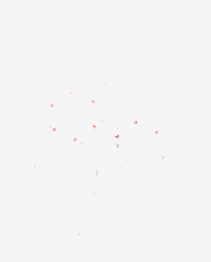 c1ccc(P(c2ccccc2)c2ccccc2[SiH2]c2cccc3cccc(P(c4ccccc4)c4ccccc4)c23)cc1